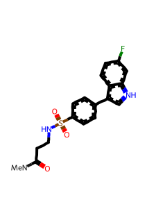 CNC(=O)CCNS(=O)(=O)c1ccc(-c2c[nH]c3cc(F)ccc23)cc1